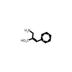 NCC(=Cc1ccccc1)C(=O)O